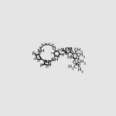 CC(C)[C@H](NC(=O)OC(C)(C)C)C(=O)N=[S@@](C)(=O)Cc1cc2cc(c1)OCCCCCNc1cc(ccc1F)-c1nc(ncc1F)N2